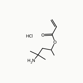 C=CC(=O)OC(C)CC(C)(C)N.Cl